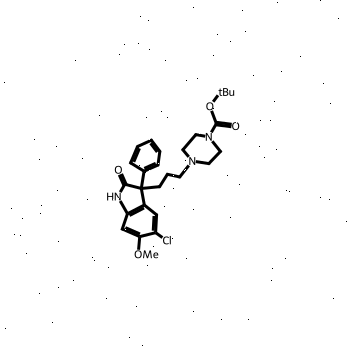 COc1cc2c(cc1Cl)C(CCCN1CCN(C(=O)OC(C)(C)C)CC1)(c1ccccc1)C(=O)N2